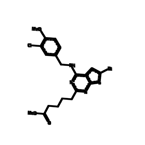 CCc1cc2c(NCc3ccc(OC)c(Cl)c3)nc(CCCCC(=O)OC)nc2s1